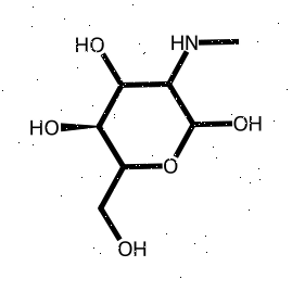 CNC1C(O)OC(CO)[C@@H](O)C1O